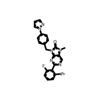 CC(C)c1cccc(F)c1-c1ncc2c(n1)n(Cc1ccc(-n3cccn3)cc1)c(=O)n2C